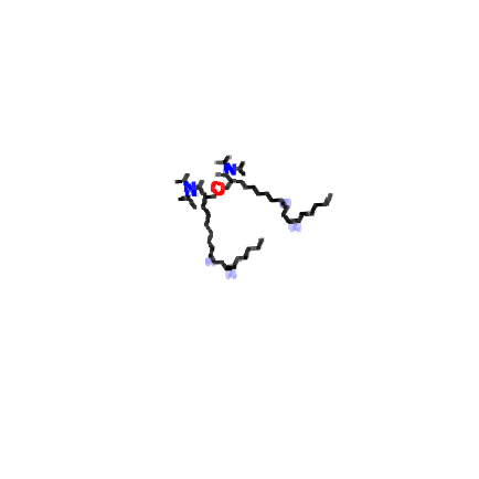 CCCCC/C=C\C/C=C\CCCCCCC(COCC(CCCCCC/C=C\C/C=C\CCCCC)C(C)N(C(C)C)C(C)C)C(C)N(C(C)C)C(C)C